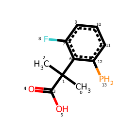 CC(C)(C(=O)O)c1c(F)cccc1P